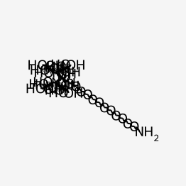 NCCOCCOCCOCCOCCOCCOCCOCCOCCOCCOCCOCCOCCC(=O)N(CCN(C[C@H](O)[C@@H](O)[C@H](O)[C@H](O)CO)C[C@H](O)[C@@H](O)[C@H](O)[C@H](O)CO)CCN(C[C@H](O)[C@@H](O)[C@H](O)[C@H](O)CO)C[C@H](O)[C@@H](O)[C@H](O)[C@H](O)CO